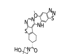 COc1cc2nnsc2cc1Nc1ncnc2sc3c(c12)CC[C@H](C(=O)N1CC(C)(O)C1)C3